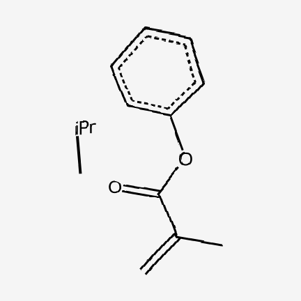 C=C(C)C(=O)Oc1ccccc1.CC(C)C